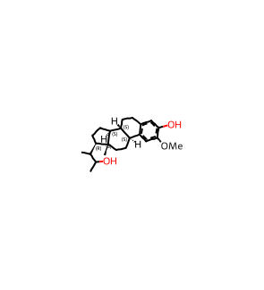 COc1cc2c(cc1O)CC[C@@H]1[C@@H]2CC[C@]2(C)[C@@H](C(C)C(C)O)CC[C@@H]12